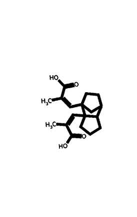 CC(=CC12CCC(C1)C1CCCC12C=C(C)C(=O)O)C(=O)O